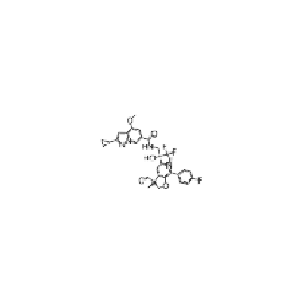 COc1cc(C(=O)NCC(O)(c2cc3c(c(-c4ccc(F)cc4)n2)OC[C@]3(C)C=O)C(F)(F)F)cn2nc(C3CC3)cc12